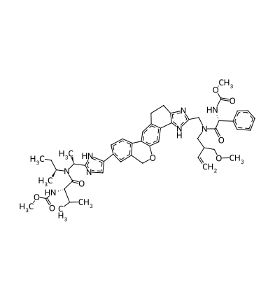 C=CC(COC)CN(Cc1nc2c([nH]1)-c1cc3c(cc1CC2)-c1ccc(-c2cnc([C@H](C)N(C(=O)[C@@H](NC(=O)OC)C(C)C)[C@@H](C)CC)[nH]2)cc1CO3)C(=O)[C@H](NC(=O)OC)c1ccccc1